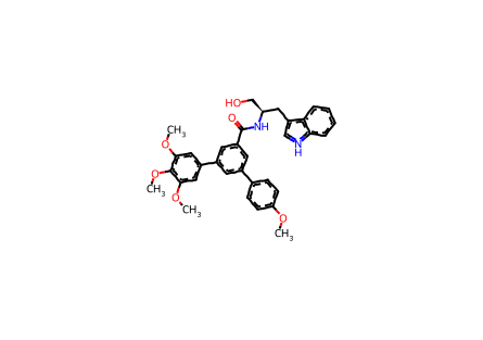 COc1ccc(-c2cc(C(=O)N[C@@H](CO)Cc3c[nH]c4ccccc34)cc(-c3cc(OC)c(OC)c(OC)c3)c2)cc1